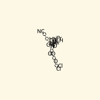 Cc1nc(NC(C)C)sc1S(=O)(=O)N1Cc2cc3c(cc2C[C@H]1C(=O)N[C@@H](Cc1ccc(-c2ccc(C#N)cc2)cc1)C(=O)O)OCC(c1ccc(OCc2ccc(Cl)c(Cl)c2)cc1)O3